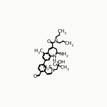 CCCN(CCC)C(=O)C1=Cc2c(C)cc(-c3ccc(C=O)c(/C=C\N(C)CC(C)(C)O)c3)cc2N=C(N)C1